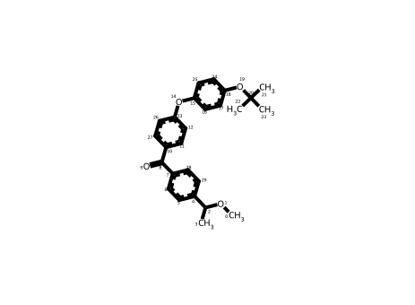 COC(C)c1ccc(C(=O)c2ccc(Oc3ccc(OC(C)(C)C)cc3)cc2)cc1